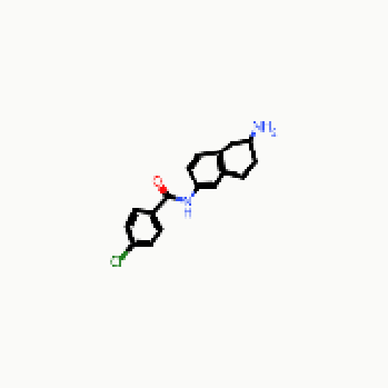 NC1CCc2cc(NC(=O)c3ccc(Cl)cc3)ccc2C1